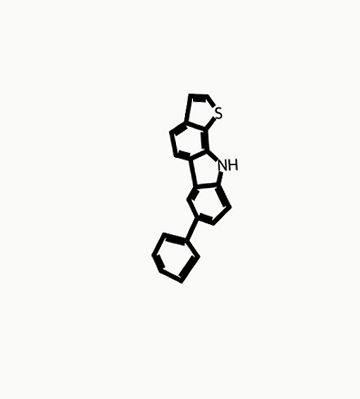 c1ccc(-c2ccc3[nH]c4c(ccc5ccsc54)c3c2)cc1